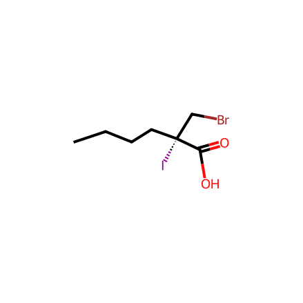 CCCC[C@@](I)(CBr)C(=O)O